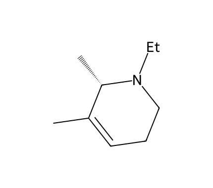 CCN1CCC=C(C)[C@@H]1C